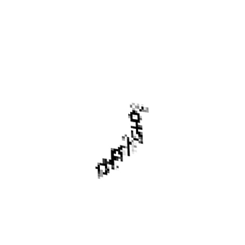 COc1ccc(C(C)(C)c2csc(NC(=O)NCc3ccc(C(=O)NC4CCN(C)CC4)nc3)n2)cc1